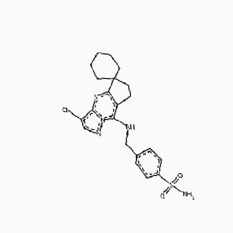 NS(=O)(=O)c1ccc(CNc2c3c(nc4c(Cl)cnn24)C2(CCCCC2)CC3)cc1